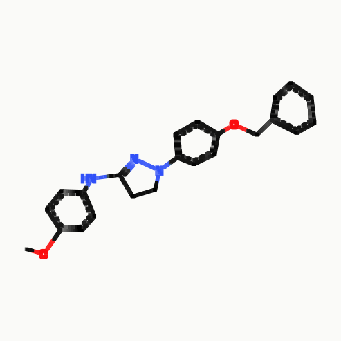 COc1ccc(NC2=NN(c3ccc(OCc4ccccc4)cc3)CC2)cc1